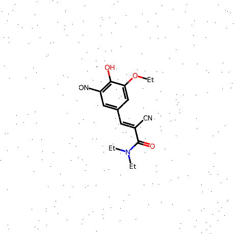 CCOc1cc(/C=C(\C#N)C(=O)N(CC)CC)cc(N=O)c1O